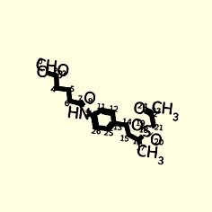 COC(=O)CCCC(=O)Nc1ccc(CCC(C)S(=O)(=O)CC(C)=O)cc1